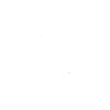 COc1cc2c(s1)COC2